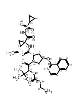 C=C[C@@H]1C[C@]1(NC(=O)[C@@H]1C[C@@H](Oc2nccc3ccccc23)CN1C(=O)[C@@H](OC(=O)NCC)C(C)(C)C)C(=O)NS(=O)(=O)C1CC1